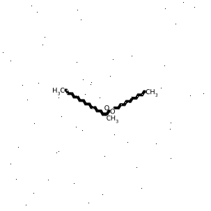 CCCCCCCCCCCCCCC=C(C)C(=O)OCCCCCCCCCCCC